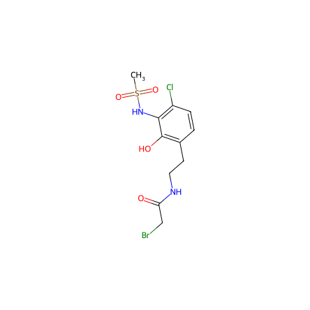 CS(=O)(=O)Nc1c(Cl)ccc(CCNC(=O)CBr)c1O